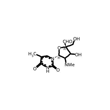 CNC1C(O)[C@@](C=O)(CO)O[C@H]1n1cc(C)c(=O)[nH]c1=O